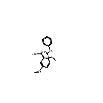 COC1=CC(C(=O)O)C(OC)(C(=O)Nc2ccccc2)C=C1